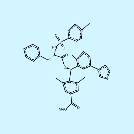 COC(=O)c1cc(C)c([C@@H](OC(=O)[C@H](Cc2ccccc2)NS(=O)(=O)c2ccc(C)cc2)c2cc(-n3ccnc3)ccc2C)c(C)c1